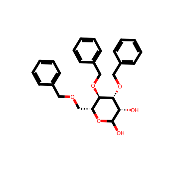 OC1O[C@H](COCc2ccccc2)[C@@H](OCc2ccccc2)[C@H](OCc2ccccc2)[C@@H]1O